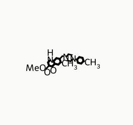 COC(=O)c1c[nH]c2cc(CN3CCN(c4ccc(C)cc4)CC3)c(C)cc2c1=O